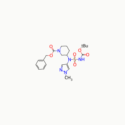 Cn1cc(N(C2CCCN(C(=O)OCc3ccccc3)C2)S(=O)(=O)NC(=O)OC(C)(C)C)cn1